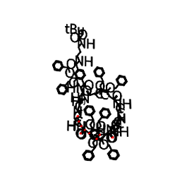 CC(C)(C)OC(=O)NCCCNC(=O)c1ccc(C(=O)NCC[C@H]2CN3CCNC(=O)c4ccc(c(OCc5ccccc5)c4OCc4ccccc4)C(=O)NCCN(CCNC(=O)c4ccc(c(OCc5ccccc5)c4OCc4ccccc4)C(=O)NCC3)CCNC(=O)c3ccc(c(OCc4ccccc4)c3OCc3ccccc3)C(=O)N2)c(OCc2ccccc2)c1OCc1ccccc1